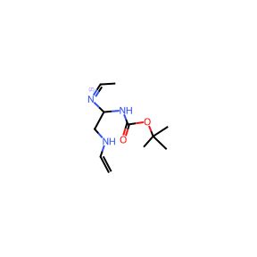 C=CNCC(/N=C\C)NC(=O)OC(C)(C)C